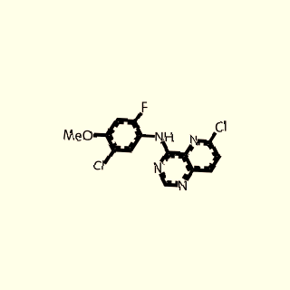 COc1cc(F)c(Nc2ncnc3ccc(Cl)nc23)cc1Cl